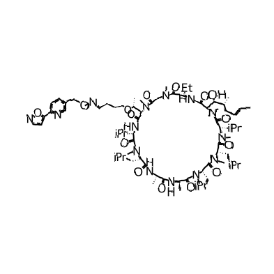 C/C=C/C[C@@H](C)[C@@H](O)[C@@H]1C(=O)N[C@@H](CC)C(=O)N(C)CC(=O)N(C)[C@@H]([C@@H](C)OCCC/C=N/OCc2ccc(-c3ccno3)nc2)C(=O)N[C@@H](C(C)C)C(=O)N(C)[C@@H](CC(C)C)C(=O)N[C@@H](C)C(=O)N[C@H](C)C(=O)N(C)[C@@H](CC(C)C)C(=O)N(C)[C@@H](CC(C)C)C(=O)N(C)[C@@H](C(C)C)C(=O)N1C